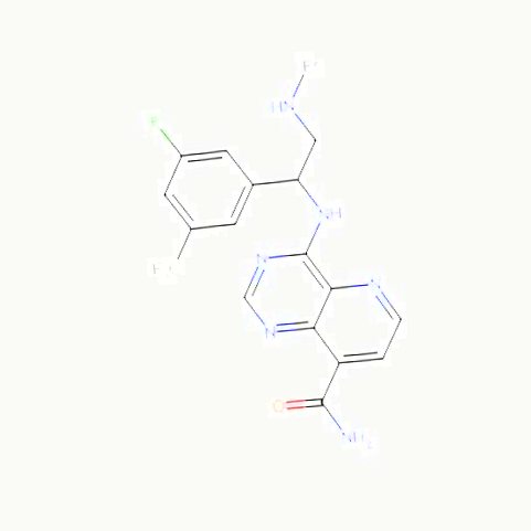 CCNCC(Nc1ncnc2c(C(N)=O)ccnc12)c1cc(F)cc(C(F)(F)F)c1